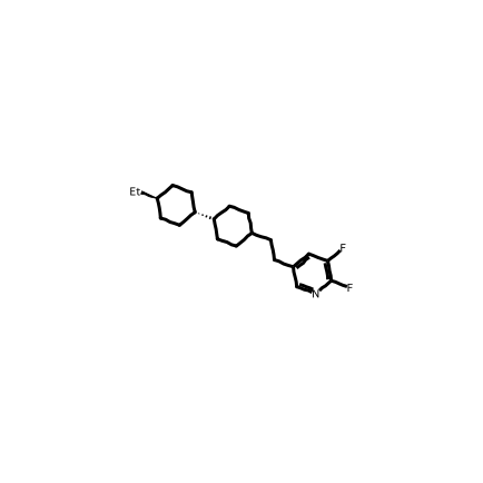 CC[C@H]1CC[C@H](C2CCC(CCc3cnc(F)c(F)c3)CC2)CC1